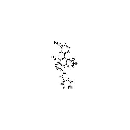 CNC.Cc1c(-c2cccc(C#N)c2)ccc2c(CCC3CCNCC3)noc12